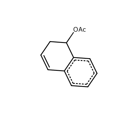 CC(=O)OC1CC=Cc2ccccc21